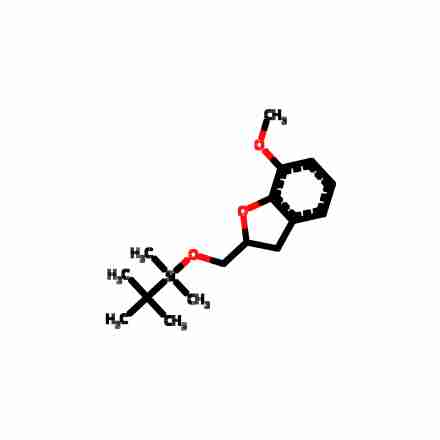 COc1cccc2c1OC(CO[Si](C)(C)C(C)(C)C)C2